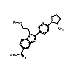 COC(=O)c1ccc2c(c1)nc(-c1ccc(N3CCC[C@@H]3C)nc1)n2CCOC(C)C